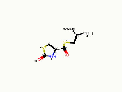 CC(=O)N[C@H](CSC(=O)[C@@H]1CSC(=O)N1)C(=O)O